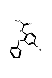 CSC(=N)Nc1ccc(Cl)cc1Oc1ccccc1.I